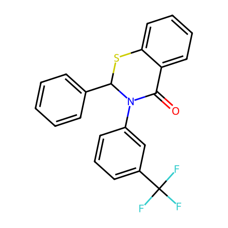 O=C1c2ccccc2SC(c2ccccc2)N1c1cccc(C(F)(F)F)c1